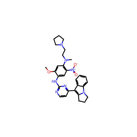 COc1cc(N(C)CCN2CCCC2)c([N+](=O)[O-])cc1Nc1nccc(-c2c3n(c4ccccc24)CCC3)n1